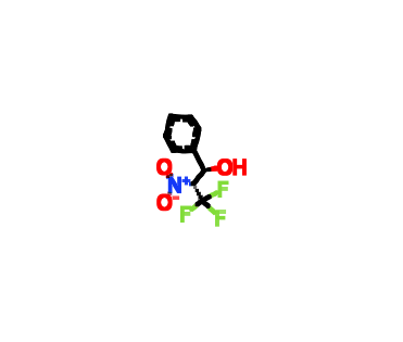 O=[N+]([O-])[C@H]([C@H](O)c1ccccc1)C(F)(F)F